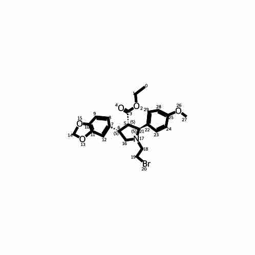 CCOC(=O)[C@H]1[C@@H](c2ccc3c(c2)OCO3)CN(CCBr)[C@@H]1c1ccc(OC)cc1